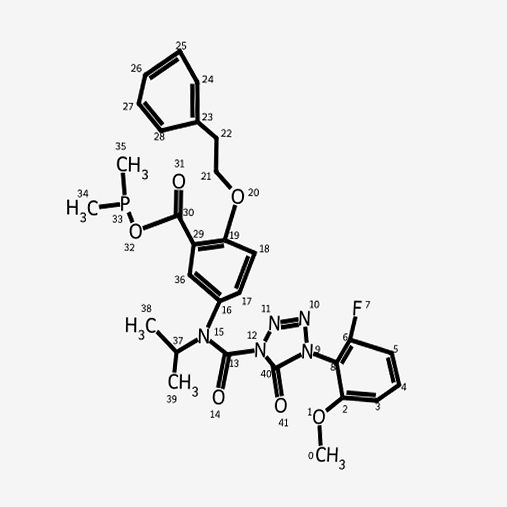 COc1cccc(F)c1-n1nnn(C(=O)N(c2ccc(OCCc3ccccc3)c(C(=O)OP(C)C)c2)C(C)C)c1=O